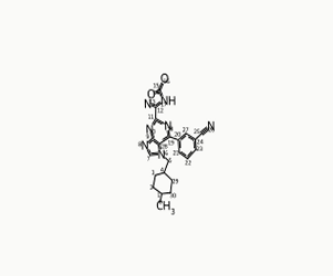 CC1CCC(Cn2cnc3nc(-c4noc(=O)[nH]4)nc(-c4cccc(C#N)c4)c32)CC1